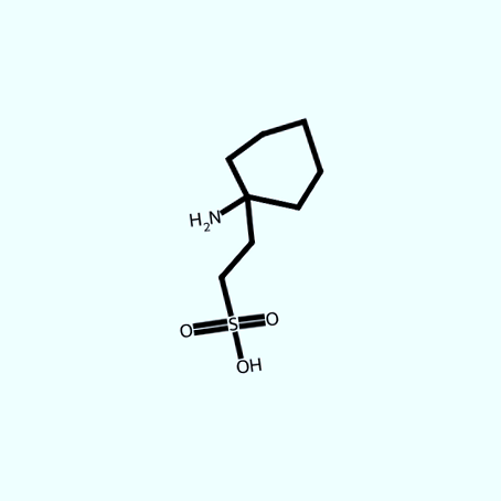 NC1(CCS(=O)(=O)O)CCCCC1